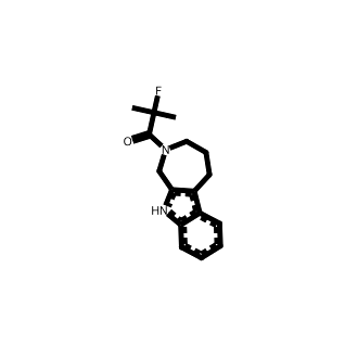 CC(C)(F)C(=O)N1CCCc2c([nH]c3ccccc23)C1